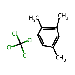 Cc1ccc(C)c(C)c1.ClC(Cl)(Cl)Cl